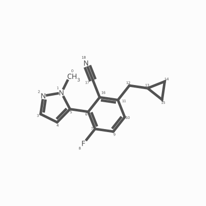 Cn1nccc1-c1c(F)ccc(CC2CC2)c1C#N